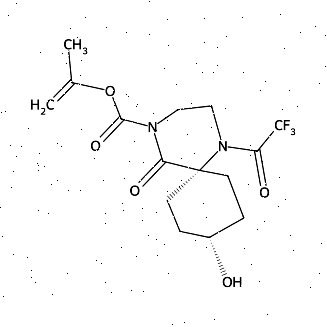 C=C(C)OC(=O)N1CCN(C(=O)C(F)(F)F)[C@]2(CC[C@@H](O)CC2)C1=O